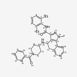 CCc1cccc(CC)c1NC(=O)c1nn(C)c2c1C(NC1CCN(C(=O)c3ccncn3)CC1)Cc1cncnc1-2